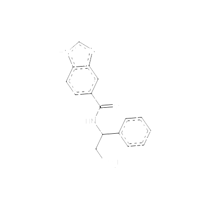 O=C(O)CC(NC(=O)c1ccc2[nH]cnc2c1)c1ccccc1